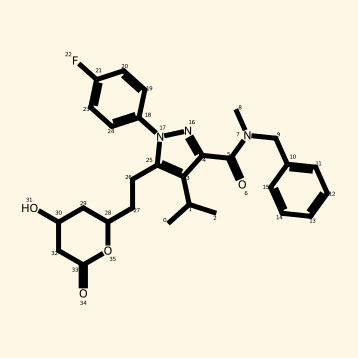 CC(C)c1c(C(=O)N(C)Cc2ccccc2)nn(-c2ccc(F)cc2)c1CCC1CC(O)CC(=O)O1